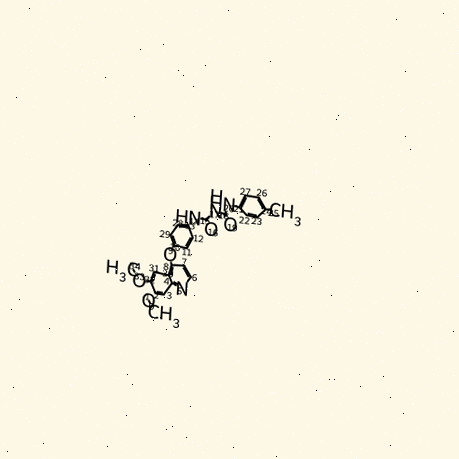 COc1cc2nccc(Oc3ccc(NC(=O)NC(=O)Nc4ccc(C)cc4)cc3)c2cc1OC